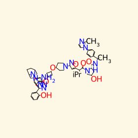 Cc1nccn1-c1ccc([C@H](C)NC(=O)[C@@H]2C[C@@H](O)CN2C(=O)[C@H](c2cc(N3CCC(O[C@H]4C[C@H](Oc5cc(N6C7CCC6CN(c6cc(-c8ccccc8O)nnc6N)C7)ccn5)C4)CC3)no2)C(C)C)cc1